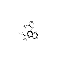 CC(C)Nc1cc(C(C)C)nc2cncnc12